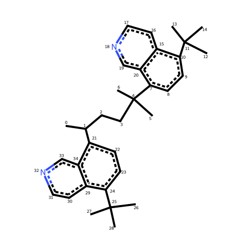 CC(CCC(C)(C)c1ccc(C(C)(C)C)c2ccncc12)c1ccc(C(C)(C)C)c2ccncc12